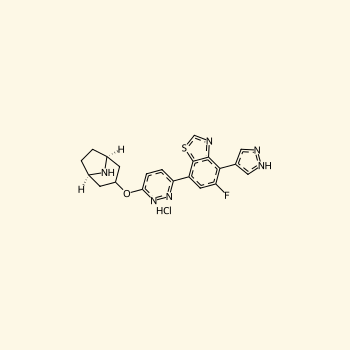 Cl.Fc1cc(-c2ccc(OC3C[C@H]4CC[C@@H](C3)N4)nn2)c2scnc2c1-c1cn[nH]c1